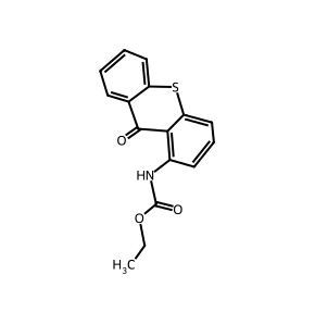 CCOC(=O)Nc1cccc2sc3ccccc3c(=O)c12